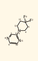 FC1(F)CCN(c2cnc[c]n2)CC1